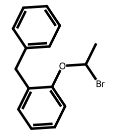 CC(Br)Oc1ccccc1Cc1ccccc1